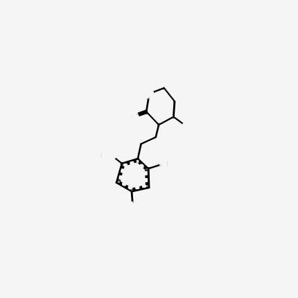 O=C1OCCC(O)C1CCc1c(O)cc(Cl)cc1Cl